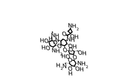 CNC[C@H]1O[C@H](O[C@H]2[C@H](O[C@@H]3O[C@H](CO)[C@@H](O[C@H]4O[C@@H](CN)[C@@H](O)[C@H](O)[C@H]4N)[C@H]3O)[C@@H](O)[C@H](NC(=O)C3(O)CC(N)C3)C[C@@H]2N)[C@H](N)[C@@H](O)[C@@H]1O